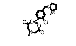 C[C@@H]1CCCN1Cc1ccc(B2OC(=O)CN(C)CC(=O)O2)c(Cl)c1